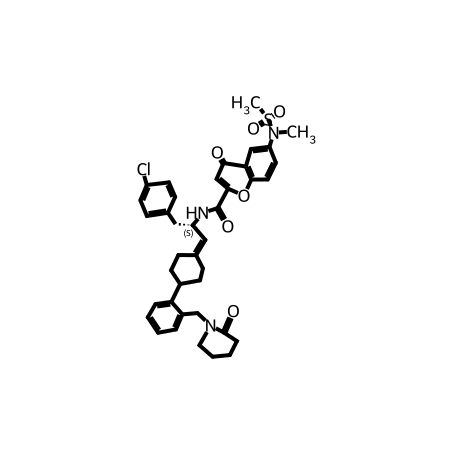 CN(c1ccc2oc(C(=O)N[C@H](C=C3CCC(c4ccccc4CN4CCCCC4=O)CC3)Cc3ccc(Cl)cc3)cc(=O)c2c1)S(C)(=O)=O